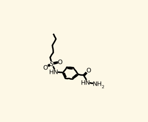 CCCCCS(=O)(=O)Nc1ccc(C(=O)NN)cc1